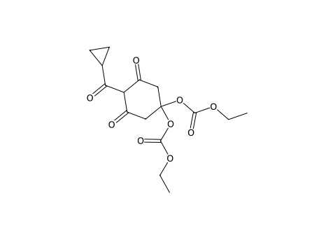 CCOC(=O)OC1(OC(=O)OCC)CC(=O)C(C(=O)C2CC2)C(=O)C1